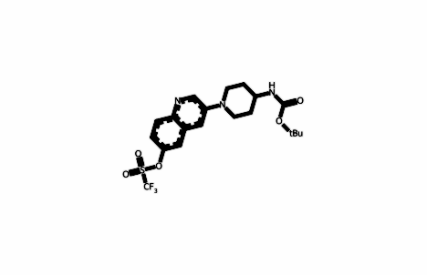 CC(C)(C)OC(=O)NC1CCN(c2cnc3ccc(OS(=O)(=O)C(F)(F)F)cc3c2)CC1